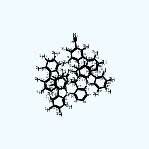 [2H]c1c([2H])c([2H])c2c(c1[2H])c1c([2H])c([2H])c([2H])c([2H])c1n2-c1nc(-c2c(-n3c4c([2H])c([2H])c([2H])c([2H])c4c4c([2H])c([2H])c([2H])c([2H])c43)cccc2-n2c3c([2H])c([2H])c([2H])c([2H])c3c3c([2H])c([2H])c([2H])c([2H])c32)nc(-n2c3c([2H])c([2H])c([2H])c([2H])c3c3c([2H])c(C#N)c([2H])c([2H])c32)n1